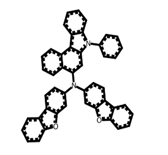 c1ccc(-n2c3ccccc3c3c4ccccc4c(N(c4ccc5c(c4)oc4ccccc45)c4ccc5c(c4)oc4ccccc45)cc32)cc1